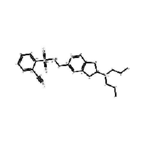 CCCN(CCC)C1Cc2cnc(CNS(=O)(=O)c3ccccc3C#N)cc2C1